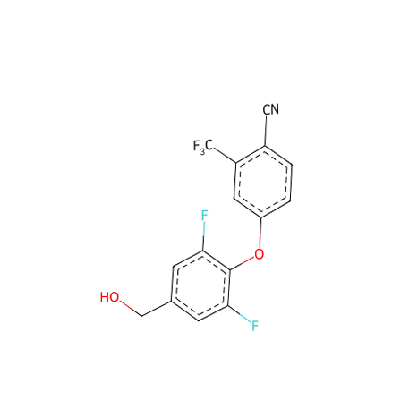 N#Cc1ccc(Oc2c(F)cc(CO)cc2F)cc1C(F)(F)F